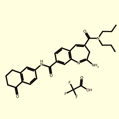 CCCN(CCC)C(=O)C1=Cc2ccc(C(=O)Nc3ccc4c(c3)CCCC4=O)cc2N=C(N)C1.O=C(O)C(F)(F)F